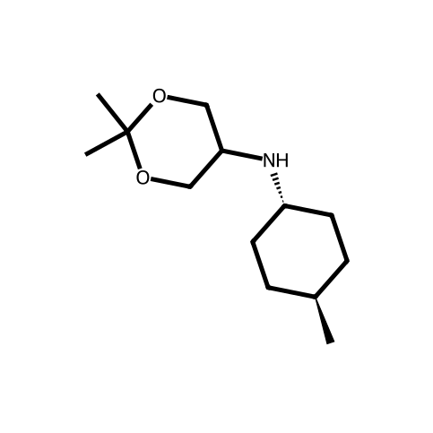 CC1(C)OCC(N[C@H]2CC[C@H](C)CC2)CO1